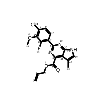 C=CCOC(=O)c1nc(-c2ccc(Cl)c(OC)c2F)nc2[nH]cc(C)c12